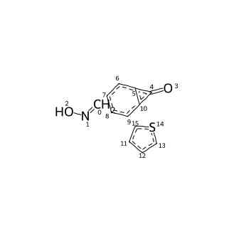 C=NO.O=c1c2ccccc12.c1ccsc1